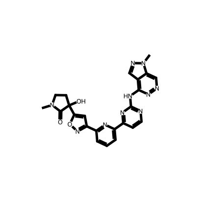 CN1CCC(O)(c2cc(-c3cccc(-c4ccnc(Nc5nncc6c5cnn6C)n4)n3)no2)C1=O